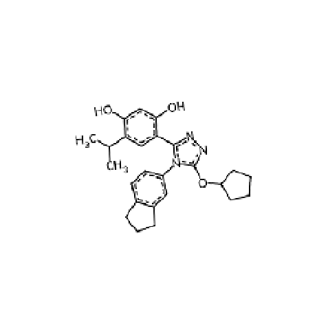 CC(C)c1cc(-c2nnc(OC3CCCC3)n2-c2ccc3c(c2)CCC3)c(O)cc1O